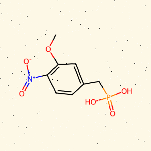 COc1cc(CP(=O)(O)O)ccc1[N+](=O)[O-]